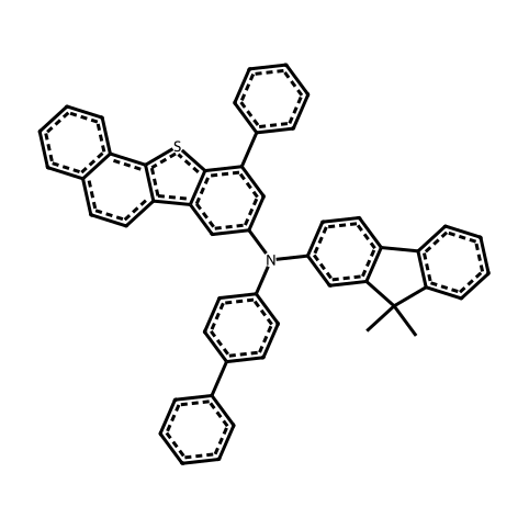 CC1(C)c2ccccc2-c2ccc(N(c3ccc(-c4ccccc4)cc3)c3cc(-c4ccccc4)c4sc5c6ccccc6ccc5c4c3)cc21